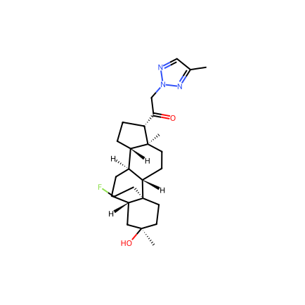 Cc1cnn(CC(=O)[C@H]2CC[C@H]3[C@@H]4CC[C@H]5C[C@](C)(O)CC[C@]5(CCF)[C@H]4CC[C@]23C)n1